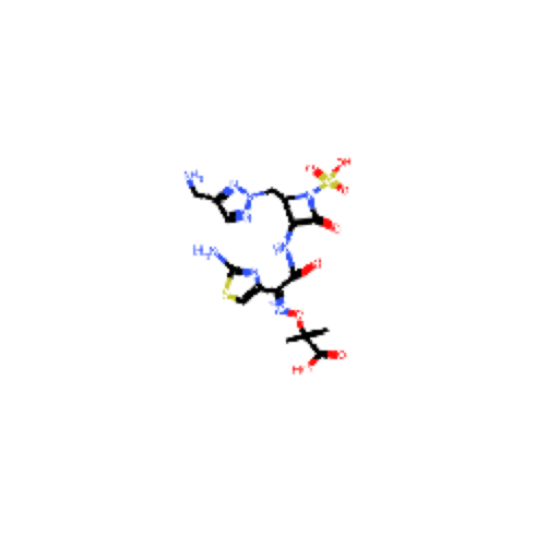 CC(C)(O/N=C(\C(=O)NC1C(=O)N(S(=O)(=O)O)C1Cn1ncc(CN)n1)c1csc(N)n1)C(=O)O